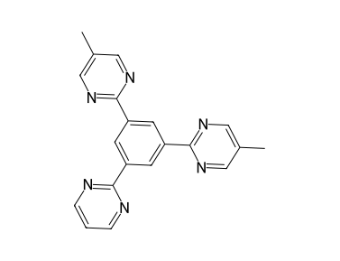 Cc1cnc(-c2cc(-c3ncccn3)cc(-c3ncc(C)cn3)c2)nc1